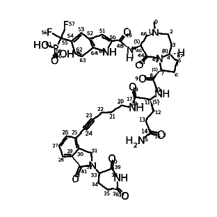 CN1CC[C@H]2CC[C@@H](C(=O)N[C@@H](CCC(N)=O)C(=O)NCCCC#Cc3cccc4c3CN(C3CCC(=O)NC3=O)C4=O)N2C(=O)[C@@H](NC(=O)c2cc3cc(C(F)(F)P(=O)(O)O)ccc3[nH]2)C1